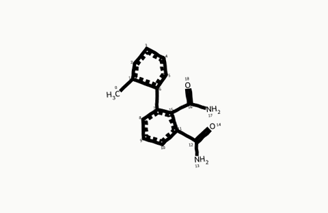 Cc1ccccc1-c1cccc(C(N)=O)c1C(N)=O